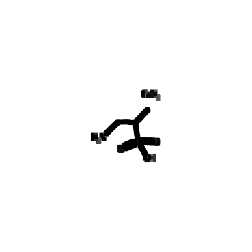 CC(CN)S(=O)(=O)O.[CaH2]